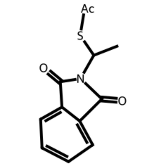 CC(=O)SC(C)N1C(=O)c2ccccc2C1=O